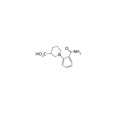 NC(=O)c1ccccc1N1CCCC(C(=O)O)C1